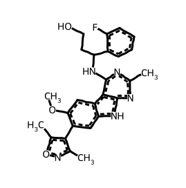 COc1cc2c(cc1-c1c(C)noc1C)[nH]c1nc(C)nc(NC(CCO)c3ccccc3F)c12